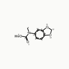 [CH2]OC(=O)N(C)c1ccc2c(c1)OCO2